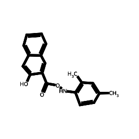 Cc1ccc(NOC(=O)c2cc3ccccc3cc2O)c(C)c1